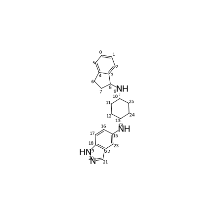 c1ccc2c(c1)CCC2N[C@H]1CC[C@@H](Nc2ccc3[nH]ncc3c2)CC1